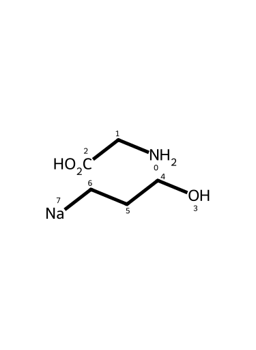 NCC(=O)O.OCC[CH2][Na]